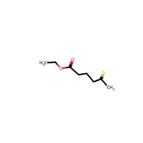 CCOC(=O)CCCC(C)=S